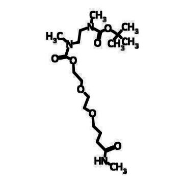 CNC(=O)CCCOCCOCCOC(=O)N(C)CCN(C)C(=O)OC(C)(C)C